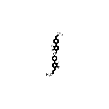 CCCCc1ccc(C2CCC(OCc3ccc(C4CCC(CCC)CC4)c(F)c3F)CC2)c(F)c1F